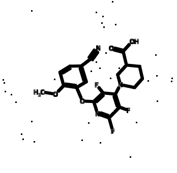 COc1ccc(C#N)cc1Oc1nc(F)c(F)c(N2CCCC(C(=O)O)C2)c1F